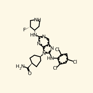 NC(=O)[C@H]1CC[C@@H](n2c(Nc3c(Cl)cc(Cl)cc3Cl)nc3cnc(N[C@H]4CCNC[C@H]4F)nc32)CC1